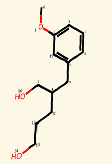 COc1cccc(CC(CO)CCCO)c1